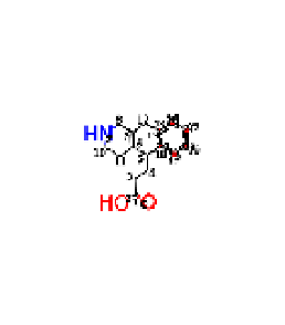 O=C(O)CCC12C3=C(CNCC3)C(c3ccccc31)c1ccccc12